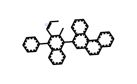 C/C=C\c1c(C)c(-c2cc3ccc4ccccc4c3c3ccccc23)c2ccccc2c1-c1ccccc1